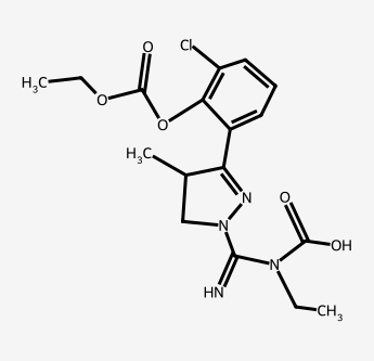 CCOC(=O)Oc1c(Cl)cccc1C1=NN(C(=N)N(CC)C(=O)O)CC1C